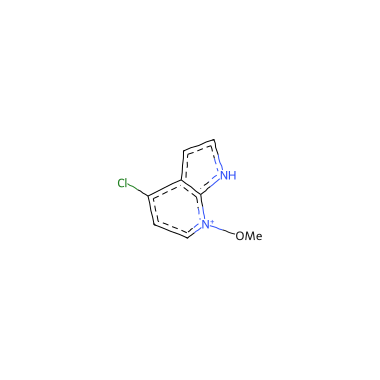 CO[n+]1ccc(Cl)c2cc[nH]c21